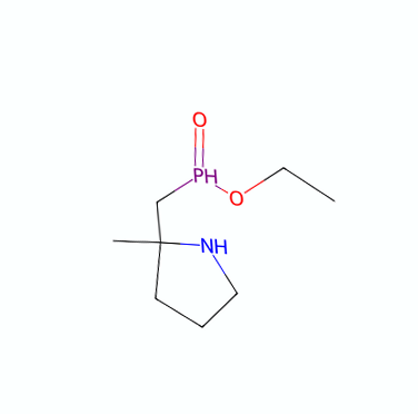 CCO[PH](=O)CC1(C)CCCN1